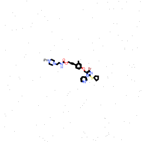 Cc1cc(OCc2c(Br)nc(SC3CCCC3)n2-c2cccnc2)ccc1C#CCOC(=O)NCCN1CCN(C(C)C)CC1